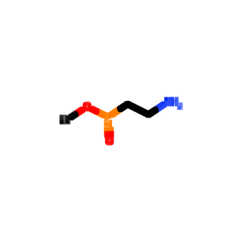 CCO[PH](=O)CCN